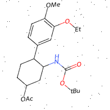 CCOc1cc(C2CCC(OC(C)=O)CC2NC(=O)OC(C)(C)C)ccc1OC